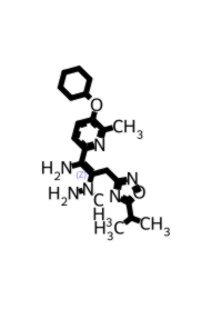 Cc1nc(/C(N)=C(\Cc2noc(C(C)C)n2)N(C)N)ccc1OC1CCCCC1